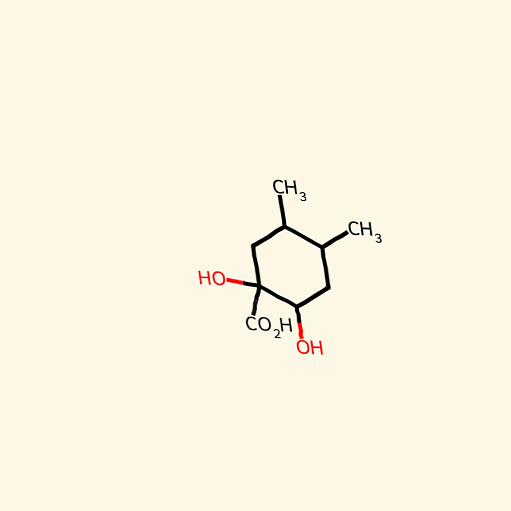 CC1CC(O)C(O)(C(=O)O)CC1C